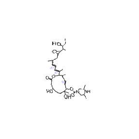 CCC(O)C(C)C1OC1CC(C)/C=C/C=C(\C)C1OC(=O)CC(O)CCC(C)(O)C(OC(=O)N2CC(C)NC(C)C2)/C=C/C1C